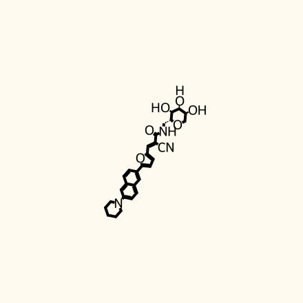 N#C/C(=C\c1ccc(-c2ccc3cc(N4CCCCC4)ccc3c2)o1)C(=O)NC[C@H]1OC[C@H](O)[C@@H](O)[C@@H]1O